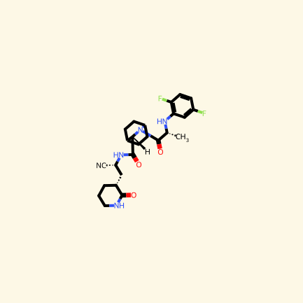 C[C@@H](Nc1cc(F)ccc1F)C(=O)N1C2CCC(CC2)[C@H]1C(=O)N[C@@H](C#N)C[C@H]1CCCNC1=O